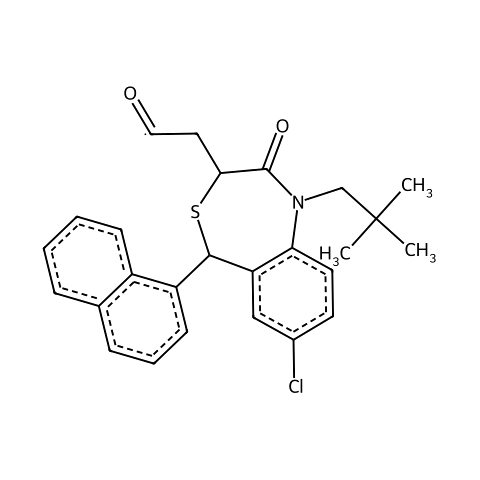 CC(C)(C)CN1C(=O)C(C[C]=O)SC(c2cccc3ccccc23)c2cc(Cl)ccc21